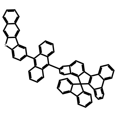 c1ccc2c(c1)-c1ccccc1C21c2c(ccc3cc(-c4c5ccccc5c(-c5ccc6sc7cc8ccccc8cc7c6c5)c5ccccc45)ccc23)-c2c1c1ccccc1c1ccccc21